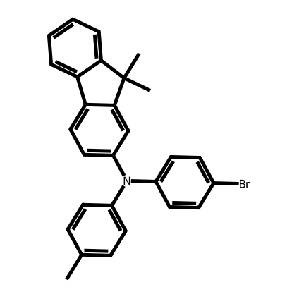 Cc1ccc(N(c2ccc(Br)cc2)c2ccc3c(c2)C(C)(C)c2ccccc2-3)cc1